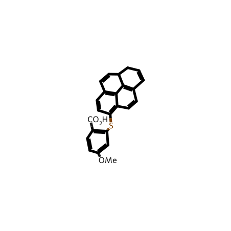 COc1ccc(C(=O)O)c(Sc2ccc3c4c5c(ccc24)C=CCC5C=C3)c1